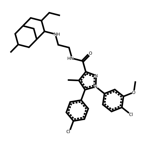 CCC1CC2CC(C)CC(C2)C1NCCNC(=O)c1nn(-c2ccc(Cl)c(OC)c2)c(-c2ccc(Cl)cc2)c1C